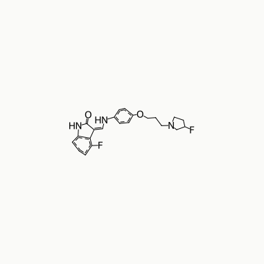 O=C1Nc2cccc(F)c2C1=CNc1ccc(OCCCN2CCC(F)C2)cc1